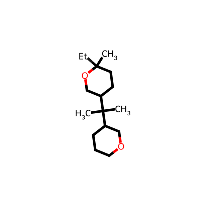 CCC1(C)CCC(C(C)(C)C2CCCOC2)CO1